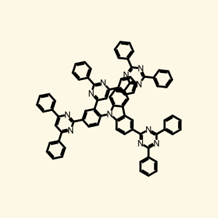 c1ccc(-c2cc(-c3ccccc3)nc(-c3ccc(-n4c5ccc(-c6nc(-c7ccccc7)nc(-c7ccccc7)n6)cc5c5cc(-c6nc(-c7ccccc7)nc(-c7ccccc7)n6)ccc54)c(-c4cc(-c5ccccc5)nc(-c5ccccc5)n4)c3)n2)cc1